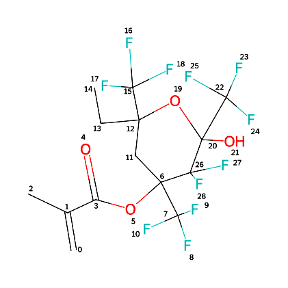 C=C(C)C(=O)OC1(C(F)(F)F)CC(CC)(C(F)(F)F)OC(O)(C(F)(F)F)C1(F)F